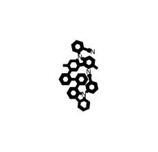 Cc1ccc2c(c1)c1c(n2-c2ccccc2C#N)CC(C)C(c2ccccc2-c2ccccc2-c2cccc3c2N(c2cccc(C#N)c2)C2C=CC=CC32)=C1